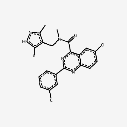 Cc1n[nH]c(C)c1CN(C)C(=O)c1nc(-c2cccc(Cl)c2)nc2ccc(Cl)cc12